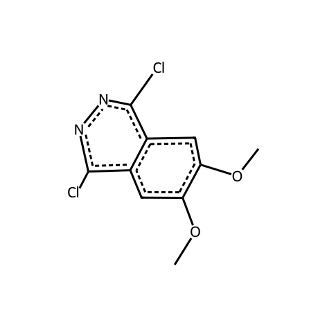 COc1cc2c(Cl)nnc(Cl)c2cc1OC